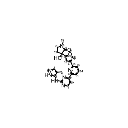 Cc1cn[nH]c1Nc1nccc(-c2cccc(-c3cc([C@]4(O)CCN(C)C4=O)on3)n2)n1